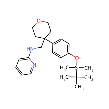 CC(C)(C)[Si](C)(C)Oc1ccc(C2(CNc3ccccn3)CCOCC2)cc1